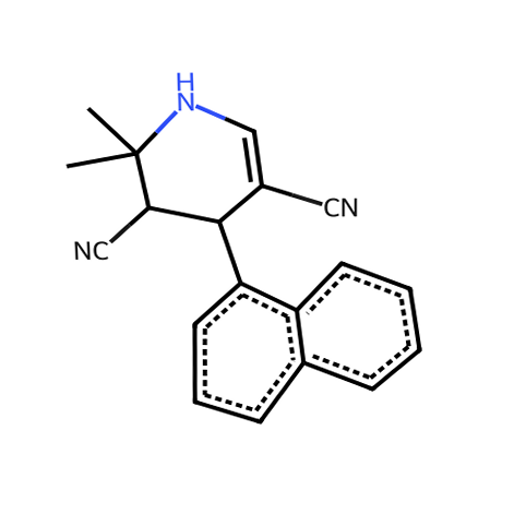 CC1(C)NC=C(C#N)C(c2cccc3ccccc23)C1C#N